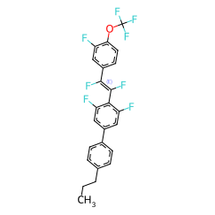 CCCc1ccc(-c2cc(F)c(/C(F)=C(\F)c3ccc(OC(F)(F)F)c(F)c3)c(F)c2)cc1